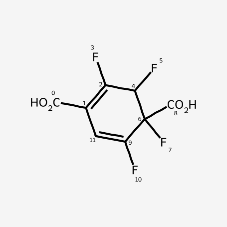 O=C(O)C1=C(F)C(F)C(F)(C(=O)O)C(F)=C1